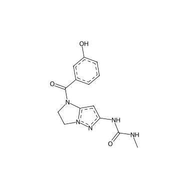 CNC(=O)Nc1cc2n(n1)CCN2C(=O)c1cccc(O)c1